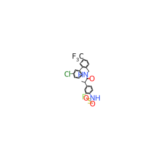 CC(C(=O)NCc1ccc(C(F)(F)F)cc1-c1cccc(Cl)c1)c1ccc(NS(C)(=O)=O)c(F)c1